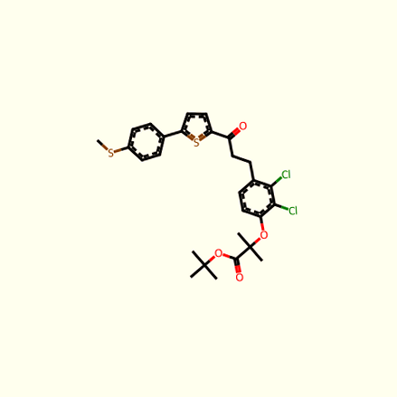 CSc1ccc(-c2ccc(C(=O)CCc3ccc(OC(C)(C)C(=O)OC(C)(C)C)c(Cl)c3Cl)s2)cc1